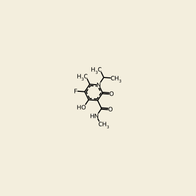 CNC(=O)c1c(O)c(F)c(C)n(C(C)C)c1=O